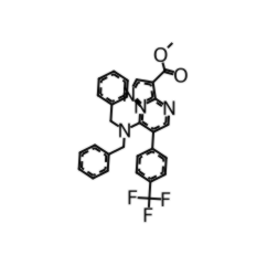 COC(=O)c1cnn2c(N(Cc3ccccc3)Cc3ccccc3)c(-c3ccc(C(F)(F)F)cc3)cnc12